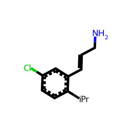 CC(C)c1ccc(Cl)cc1/C=C/CN